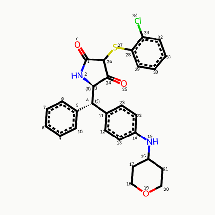 O=C1N[C@H]([C@@H](c2ccccc2)c2ccc(NC3CCOCC3)cc2)C(=O)C1Sc1ccccc1Cl